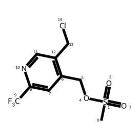 CS(=O)(=O)OCc1cc(C(F)(F)F)ncc1CCl